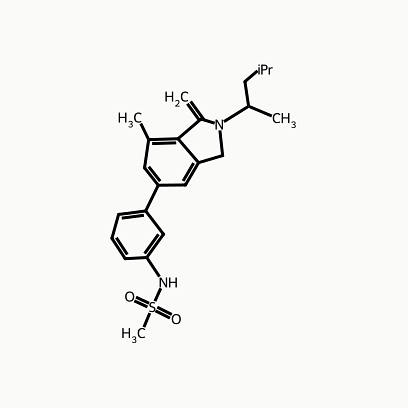 C=C1c2c(C)cc(-c3cccc(NS(C)(=O)=O)c3)cc2CN1C(C)CC(C)C